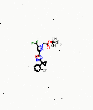 Cc1ccccc1C1(c2noc(-c3cc(C(F)F)n(CC(=O)OC(C)(C)C)n3)n2)CC1